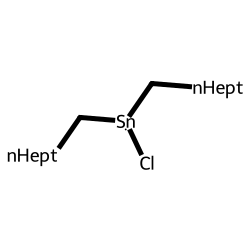 CCCCCCC[CH2][Sn]([Cl])[CH2]CCCCCCC